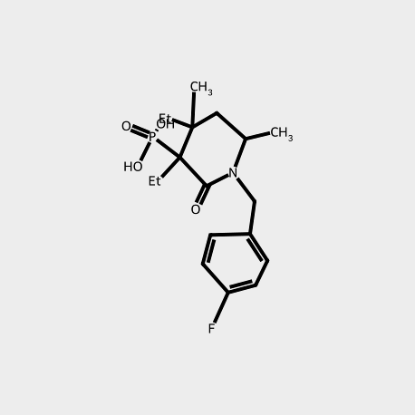 CCC1(C)CC(C)N(Cc2ccc(F)cc2)C(=O)C1(CC)P(=O)(O)O